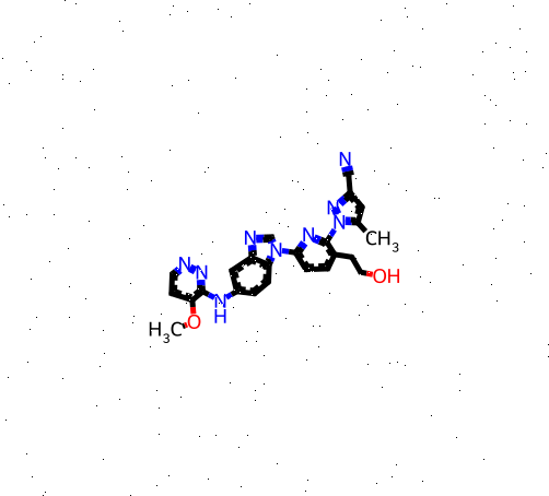 COc1ccnnc1Nc1ccc2c(c1)ncn2-c1ccc(CCO)c(-n2nc(C#N)cc2C)n1